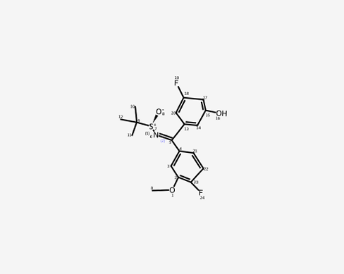 COc1cc(/C(=N/[S@+]([O-])C(C)(C)C)c2cc(O)cc(F)c2)ccc1F